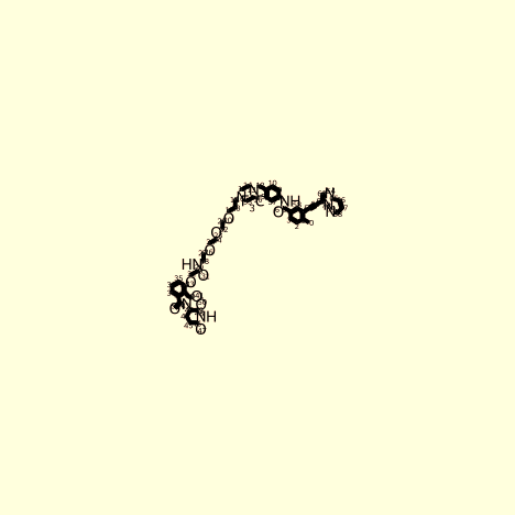 Cc1ccc(C(=O)Nc2ccc(CN3CCN(CCCOCCOCCOCCNC(=O)COc4cccc5c4C(=O)N(C4CCC(=O)NC4=O)C5=O)CC3)c(C(F)(F)F)c2)cc1C#Cc1cnc2cccnn12